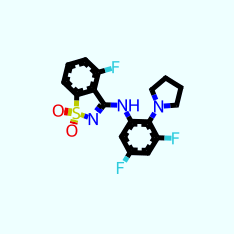 O=S1(=O)N=C(Nc2cc(F)cc(F)c2N2CCCC2)c2c(F)cccc21